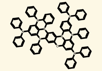 c1ccc(N(c2ccccc2)c2ccc3c(c2)N(c2ccccc2)c2cc(N(c4ccccc4)c4ccccc4)cc4c2B3c2cc3c(cc2O4)N(c2ccccc2)c2cc(N(c4ccccc4)c4ccccc4)cc4c2B3c2ccccc2N4c2ccccc2)cc1